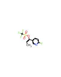 C/C=C(/OS(=O)(=O)C(F)(F)F)c1ccc(F)nc1